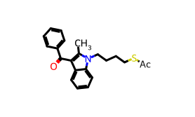 CC(=O)SCCCCn1c(C)c(C(=O)c2ccccc2)c2ccccc21